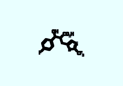 O=C(O)C(Cc1cnc(C(F)(F)F)s1)C(O)c1ccc(F)cc1